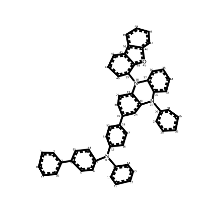 c1ccc(-c2ccc(N(c3ccccc3)c3ccc(-c4ccc5c(c4)N(c4ccccc4)c4ccccc4N5c4cccc5c4oc4ccccc45)cc3)cc2)cc1